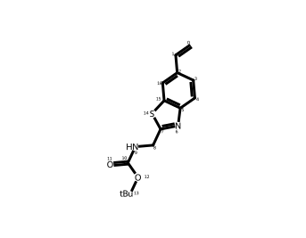 C=Cc1ccc2nc(CNC(=O)OC(C)(C)C)sc2c1